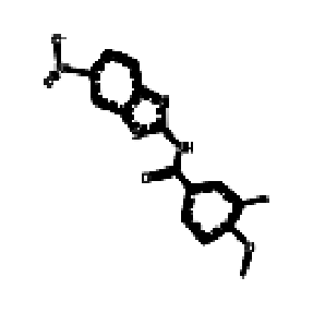 COc1ccc(C(=O)Nc2nc3ccc([N+](=O)[O-])cc3s2)cc1C